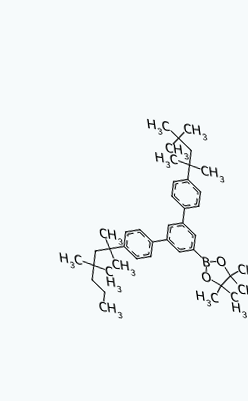 CCCC(C)(C)CC(C)(C)c1ccc(-c2cc(B3OC(C)(C)C(C)(C)O3)cc(-c3ccc(C(C)(C)CC(C)(C)C)cc3)c2)cc1